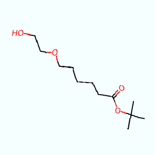 CC(C)(C)OC(=O)CCCCCOCCO